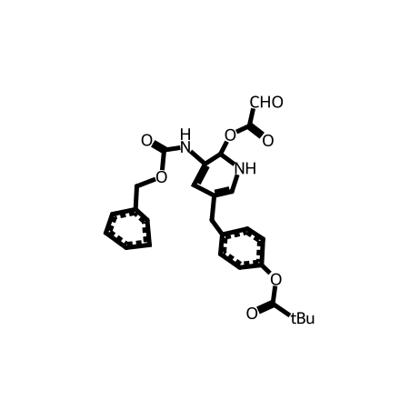 CC(C)(C)C(=O)Oc1ccc(CC2=CNC(OC(=O)C=O)C(NC(=O)OCc3ccccc3)=C2)cc1